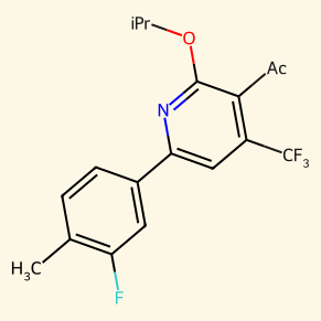 CC(=O)c1c(C(F)(F)F)cc(-c2ccc(C)c(F)c2)nc1OC(C)C